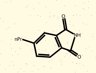 CCCc1[c]c2c(cc1)C(=O)NC2=O